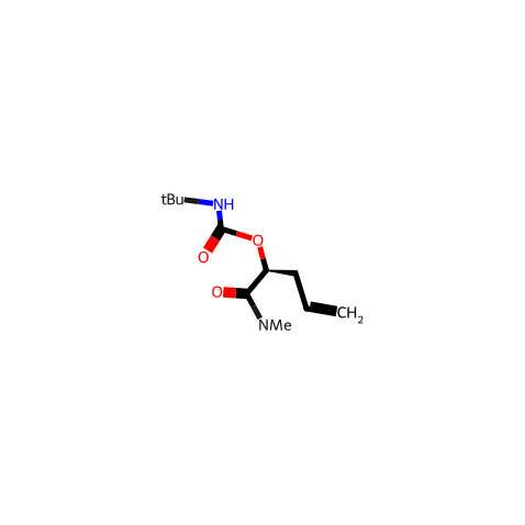 C=CC[C@H](OC(=O)NC(C)(C)C)C(=O)NC